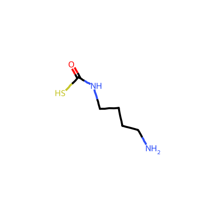 NCCCCNC(=O)S